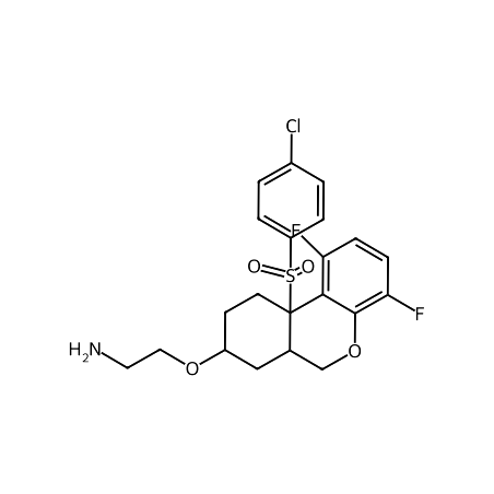 NCCOC1CCC2(S(=O)(=O)c3ccc(Cl)cc3)c3c(F)ccc(F)c3OCC2C1